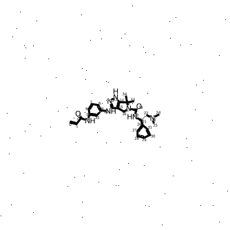 C=CC(=O)Nc1cccc(Nc2n[nH]c3c2CN(C(=O)N[C@H](CN(C)C)c2ccccc2)C3(C)C)c1